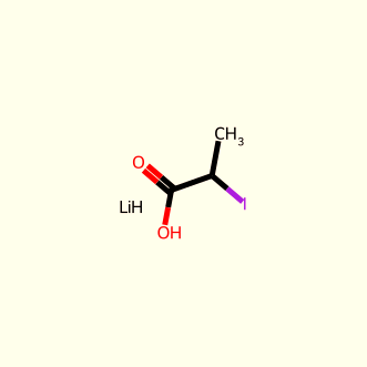 CC(I)C(=O)O.[LiH]